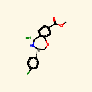 COC(=O)c1ccc2c(c1)OC[C@H](c1ccc(F)cc1)NC2.Cl